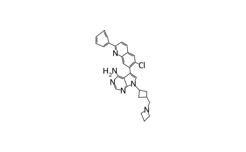 Nc1ncnc2c1c(-c1cc3nc(-c4ccccc4)ccc3cc1Cl)cn2C1CC(CN2CCC2)C1